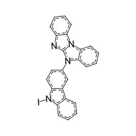 In1c2ccccc2c2cc(-n3c4ccccc4n4c5ccccc5nc34)ccc21